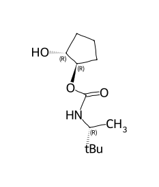 C[C@@H](NC(=O)O[C@@H]1CCC[C@H]1O)C(C)(C)C